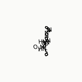 O=[N+]([O-])c1cc(S(=O)(=O)Nc2ncnc3cc(N4CCN(Cc5ccnn5-c5ccccc5)CC4)ccc23)ccc1NCCSc1ccccc1